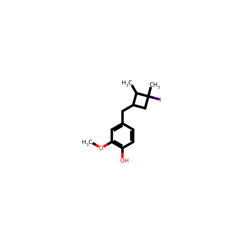 COc1cc(CC2CC(C)(I)C2C)ccc1O